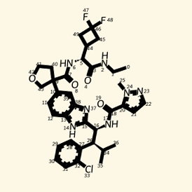 CCNC(=O)[C@H](NC(=O)C1(c2ccc3[nH]c([C@@H](NC(=O)c4ccnn4C)[C@H](c4ccccc4Cl)C(C)C)nc3c2)CCOC1)C1CC(F)(F)C1